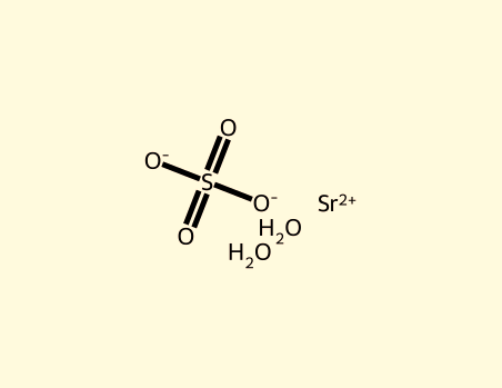 O.O.O=S(=O)([O-])[O-].[Sr+2]